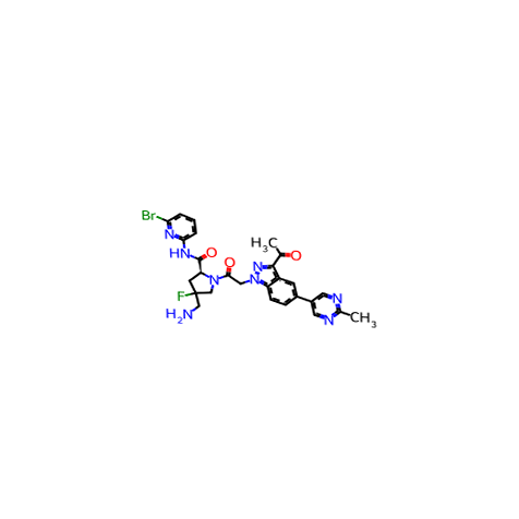 CC(=O)c1nn(CC(=O)N2CC(F)(CN)C[C@H]2C(=O)Nc2cccc(Br)n2)c2ccc(-c3cnc(C)nc3)cc12